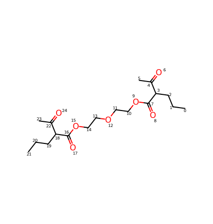 CCCC(C(C)=O)C(=O)OCCOCCOC(=O)C(CCC)C(C)=O